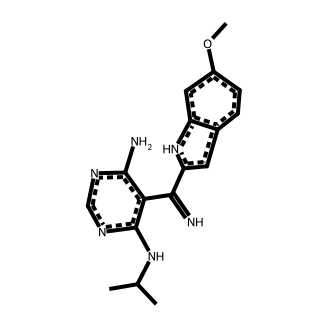 COc1ccc2cc(C(=N)c3c(N)ncnc3NC(C)C)[nH]c2c1